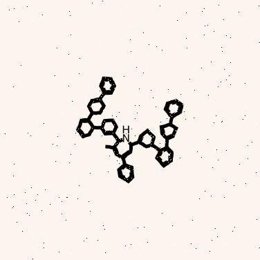 CC1=CC(c2ccccc2)=CC(C2=CCCC(c3ccccc3C3=CCC(c4ccccc4)C=C3)C2)NC1C1=CC(C2CC=CC=C2C2CC=C(c3ccccc3)CC2)CCC1